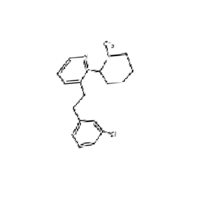 CN1CCCC[C]1c1ncccc1CCc1cccc(Cl)c1